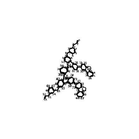 C=CCc1cccc(Cc2ccc3c(c2)c2cc(-c4ccc5oc6ccccc6c5c4)ccc2n3-c2cccc(-n3c4ccc(Cc5cccc(CC=C)c5)cc4c4cc(-c5ccc6oc7ccccc7c6c5)ccc43)c2)c1